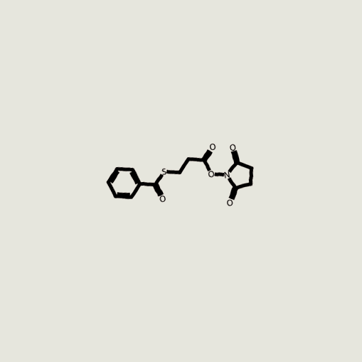 O=C(CCSC(=O)c1ccccc1)ON1C(=O)CCC1=O